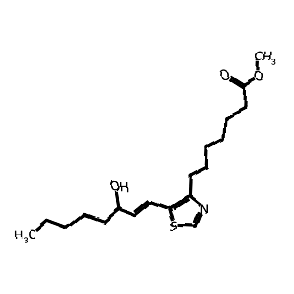 CCCCCC(O)C=Cc1scnc1CCCCCCC(=O)OC